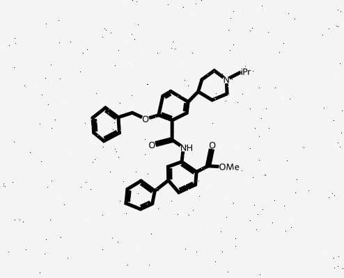 COC(=O)c1ccc(-c2ccccc2)cc1NC(=O)c1cc(C2CCN(C(C)C)CC2)ccc1OCc1ccccc1